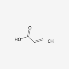 C=CC(=O)O.[CH]